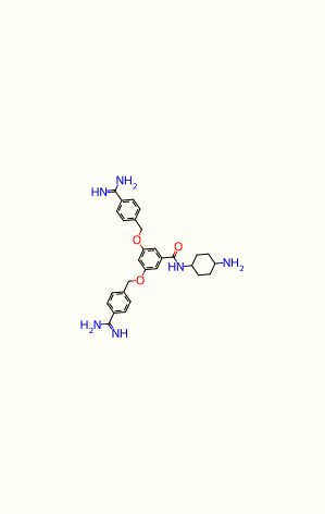 N=C(N)c1ccc(COc2cc(OCc3ccc(C(=N)N)cc3)cc(C(=O)NC3CCC(N)CC3)c2)cc1